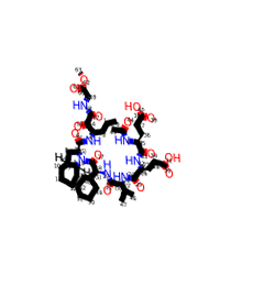 CCCC(NC(=O)[C@@H]1C[C@@H]2CCCC[C@@H]2N1C(=O)[C@@H](NC(=O)[C@@H](NC(=O)[C@H](CCC(=O)O)NC(=O)[C@H](CCC(=O)O)NC(C)=O)C(C)C)C1CCCCC1)C(=O)C(=O)NCC(=O)OC